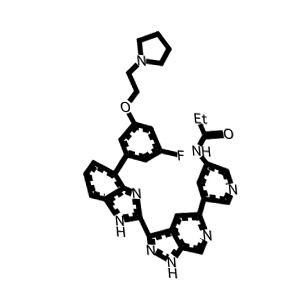 CCC(=O)Nc1cncc(-c2cc3c(-c4nc5c(-c6cc(F)cc(OCCN7CCCC7)c6)cccc5[nH]4)n[nH]c3cn2)c1